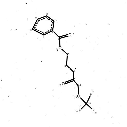 O=C(CCCOC(=O)c1ccccc1)COC(F)(F)F